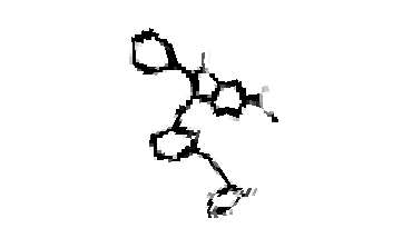 COc1ccc2c(CC3=NC(Cc4nnn[nH]4)=CCC3)c(-c3ccccc3)[nH]c2c1